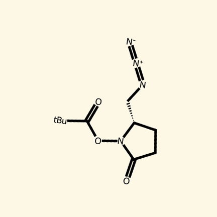 CC(C)(C)C(=O)ON1C(=O)CC[C@H]1CN=[N+]=[N-]